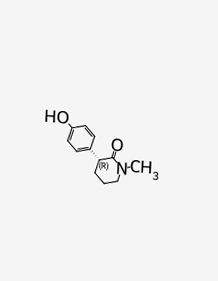 CN1CCC[C@H](c2ccc(O)cc2)C1=O